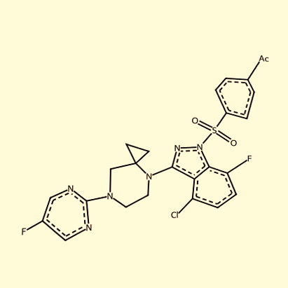 CC(=O)c1ccc(S(=O)(=O)n2nc(N3CCN(c4ncc(F)cn4)CC34CC4)c3c(Cl)ccc(F)c32)cc1